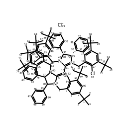 CC(C)(C)c1cc(CN2C(=NC3=[N+](Cc4cc(C(C)(C)C)cc(C(C)(C)C)c4Cl)[C@@H](c4ccccc4)[C@H](c4ccccc4)N3Cc3cc(C(C)(C)C)cc(C(C)(C)C)c3Cl)N(Cc3cc(C(C)(C)C)cc(C(C)(C)C)c3Cl)C(c3ccccc3)C2c2ccccc2)c(Cl)c(C(C)(C)C)c1.[Cl-]